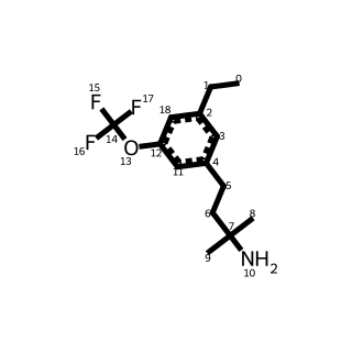 CCc1cc(CCC(C)(C)N)cc(OC(F)(F)F)c1